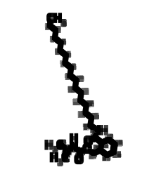 CCCCCCCCCCCCCCCCCCNC(=O)C1CC=CCC1COC(=O)NN(C)C